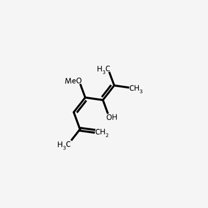 C=C(C)/C=C(/OC)C(O)=C(C)C